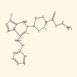 Cc1cnn2c1NC(C1CCN(C(=O)CSN)CC1)C=C2NCc1cccnc1